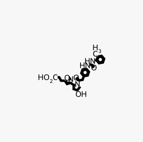 Cc1ccccc1NC(=O)Nc1ccc(CC(=O)N2CC(O)CC2c2cc(CCC(=O)O)on2)cc1